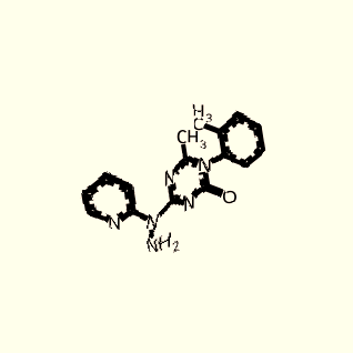 Cc1ccccc1-n1c(C)nc(N(N)c2ccccn2)nc1=O